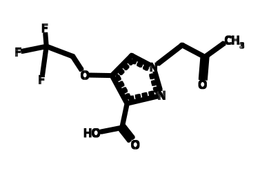 CC(=O)Cn1cc(OCC(F)(F)F)c(C(=O)O)n1